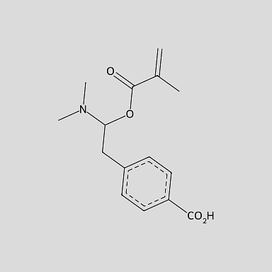 C=C(C)C(=O)OC(Cc1ccc(C(=O)O)cc1)N(C)C